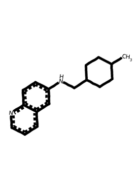 CC1CCC(CNc2ccc3ncccc3c2)CC1